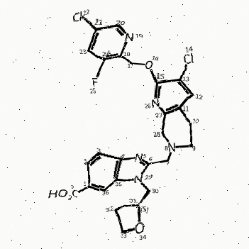 O=C(O)c1ccc2nc(CN3CCc4cc(Cl)c(OCc5ncc(Cl)cc5F)nc4C3)n(C[C@@H]3CCO3)c2c1